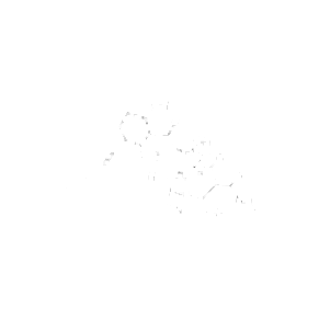 CCCCC#Cc1ccc(O)c2c1C[C@@H]1C[C@@H]3[C@@H](N(C)C)C(O)=C(C(N)=O)C(=O)[C@@]3(O)C(O)=C1C2=O